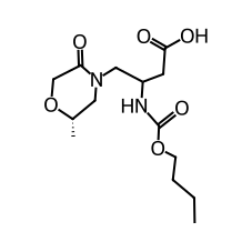 CCCCOC(=O)NC(CC(=O)O)CN1C[C@H](C)OCC1=O